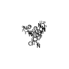 CN1CC[C@@H](n2cc(NC(=O)c3cnn4cccnc34)c(-c3cc(Cl)c(C#N)cc3OC(F)F)n2)C1=O